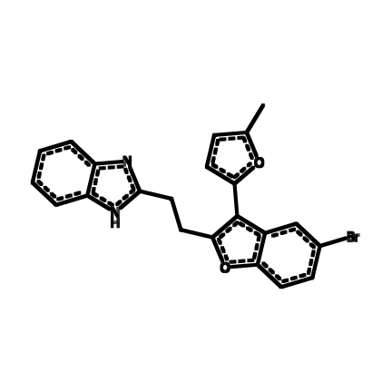 Cc1ccc(-c2c(CCc3nc4ccccc4[nH]3)oc3ccc(Br)cc23)o1